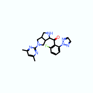 Cc1cc(C)nc(N2CC3CNC(C(=O)c4c(F)cccc4-n4nccn4)C3C2)n1